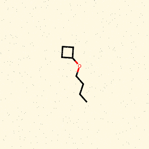 CCCCOC1CCC1